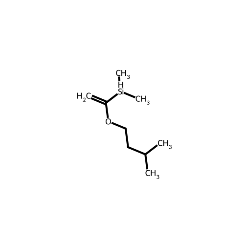 C=C(OCCC(C)C)[SiH](C)C